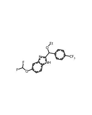 CCOC(c1ccc(C(F)(F)F)cc1)c1nc2cc(OC(F)F)ccc2[nH]1